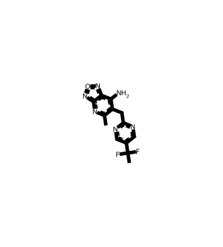 Cc1nc2nonc2c(N)c1Cc1ncc(C(C)(F)F)cn1